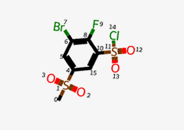 CS(=O)(=O)c1cc(Br)c(F)c(S(=O)(=O)Cl)c1